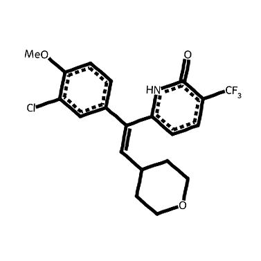 COc1ccc(C(=CC2CCOCC2)c2ccc(C(F)(F)F)c(=O)[nH]2)cc1Cl